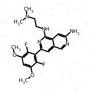 COc1cc(OC)c(F)c(-c2cc3cnc(N)cc3c(NCCN(C)C)n2)c1F